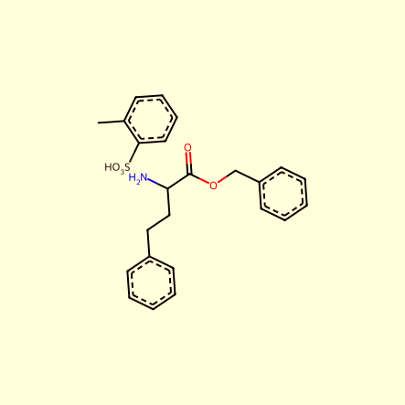 Cc1ccccc1S(=O)(=O)O.NC(CCc1ccccc1)C(=O)OCc1ccccc1